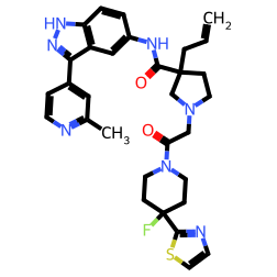 C=CCC1(C(=O)Nc2ccc3[nH]nc(-c4ccnc(C)c4)c3c2)CCN(CC(=O)N2CCC(F)(c3nccs3)CC2)C1